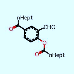 CCCCCCCC(=O)Oc1ccc(C(=O)CCCCCCC)cc1C=O